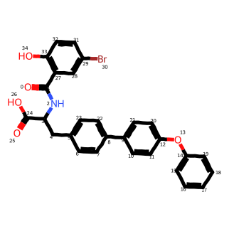 O=C(NC(Cc1ccc(-c2ccc(Oc3ccccc3)cc2)cc1)C(=O)O)c1cc(Br)ccc1O